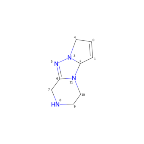 C1=CC2N(C1)N=C1CNCCN12